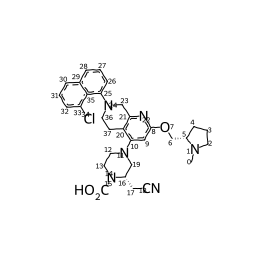 CN1CCC[C@H]1COc1cc(N2CCN(C(=O)O)[C@@H](CC#N)C2)c2c(n1)CN(c1cccc3cccc(Cl)c13)CC2